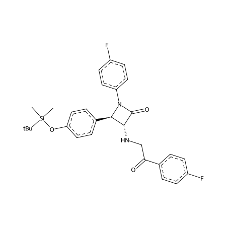 CC(C)(C)[Si](C)(C)Oc1ccc([C@@H]2[C@@H](NCC(=O)c3ccc(F)cc3)C(=O)N2c2ccc(F)cc2)cc1